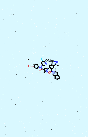 COc1ncc(N(C(=O)c2cc(-c3cc4c(cc3C(=O)N3Cc5ccccc5C[C@H]3C)CNCC4)n(C)c2C)c2ccc(O)cc2)cc1F